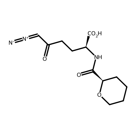 [N-]=[N+]=CC(=O)CC[C@H](NC(=O)[C@H]1CCCCO1)C(=O)O